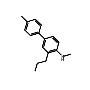 CCCc1cc(-c2ccc(C)cc2)ccc1NC